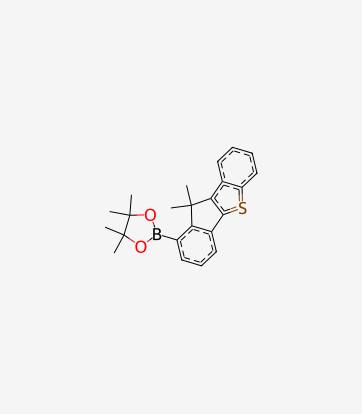 CC1(C)c2c(B3OC(C)(C)C(C)(C)O3)cccc2-c2sc3ccccc3c21